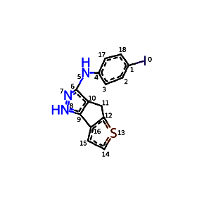 Ic1ccc(Nc2n[nH]c3c2Cc2sccc2-3)cc1